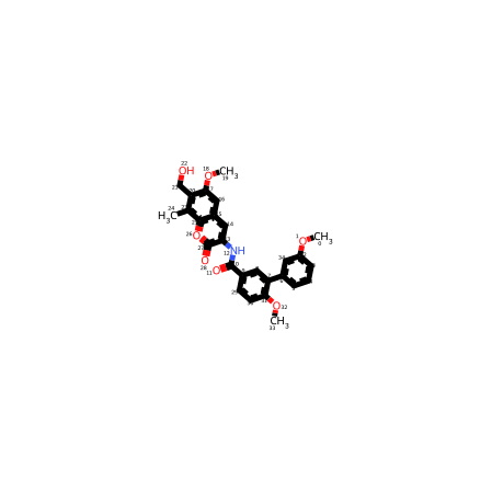 COc1cccc(-c2cc(C(=O)Nc3cc4cc(OC)c(CO)c(C)c4oc3=O)ccc2OC)c1